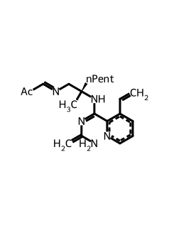 C=Cc1cccnc1/C(=N\C(=C)N)N[C@@](C)(CCCCC)C/N=C/C(C)=O